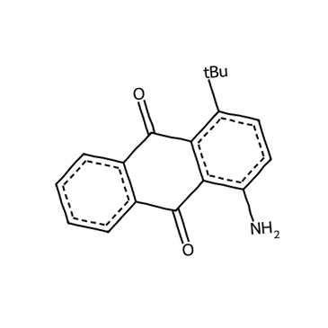 CC(C)(C)c1ccc(N)c2c1C(=O)c1ccccc1C2=O